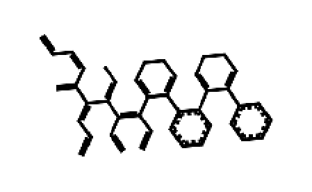 C=C/C=C\C(=C)C(=C/C=C)/C(=C\C)C(/C=C)=C(/C=C)C1=CCCC=C1c1ccccc1C1=CCCC=C1c1ccccc1